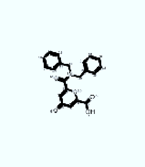 O=C(O)c1cc(=O)cc(C(=O)N(Cc2ccccc2)Cc2ccccc2)o1